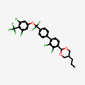 CCCC1COC(c2ccc(-c3ccc(C(F)(F)Oc4cc(F)c(C(F)(F)F)c(F)c4)cc3)c(F)c2F)OC1